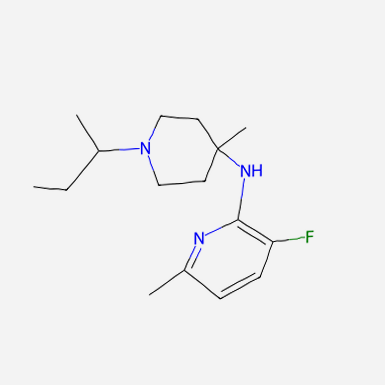 CCC(C)N1CCC(C)(Nc2nc(C)ccc2F)CC1